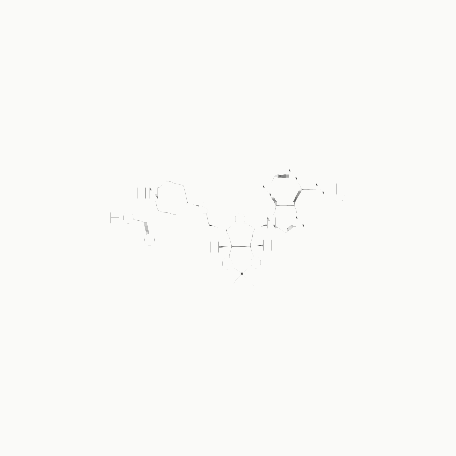 CC1(C)O[C@@H]2[C@H](O1)[C@@H](CS[C@@H]1CCN[C@@H](C(=O)O)C1)O[C@H]2n1cnc2c(N)ncnc21